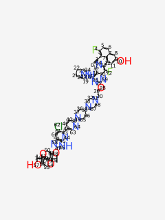 C#Cc1c(F)ccc2cc(O)cc(-c3ncc4c(N5CC6CCC(C5)N6)nc(OCCN5CCN(C6CCN(c7ccc(-c8nc9[nH]c(O[C@@H]%10CO[C@H]%11[C@@H]%10OC[C@H]%11O)nc9cc8Cl)cn7)CC6)CC5)nc4c3F)c12